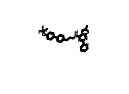 Cc1cc2c(NCCCc3ccc(-c4ccc(OC(F)(F)F)cc4)cc3)nc(-c3ccccn3)nc2s1